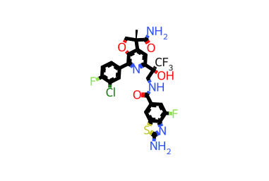 C[C@]1(C(N)=O)COc2c1cc(C(O)(CNC(=O)c1cc(F)c3nc(N)sc3c1)C(F)(F)F)nc2-c1ccc(F)c(Cl)c1